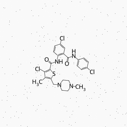 Cc1c(CN2CCN(C)CC2)sc(C(=O)Nc2ccc(Cl)cc2C(=O)Nc2ccc(Cl)cc2)c1Cl